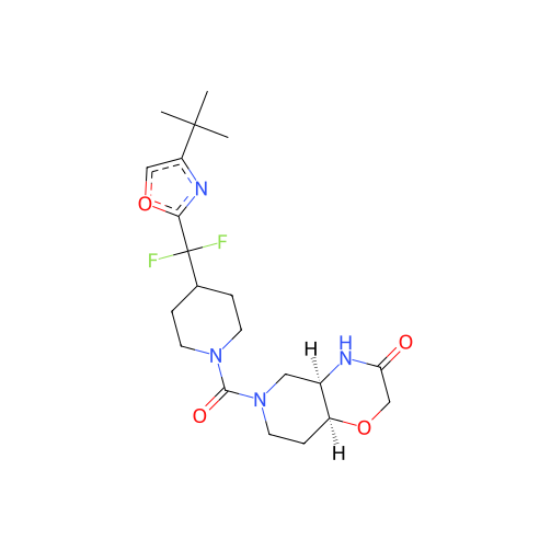 CC(C)(C)c1coc(C(F)(F)C2CCN(C(=O)N3CC[C@@H]4OCC(=O)N[C@@H]4C3)CC2)n1